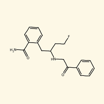 NC(=O)c1ccccc1CC(C[CH]F)NCC(=O)c1ccccc1